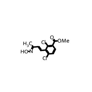 COC(=O)c1ccc(Cl)c(C=CC(C)=NO)c1Cl